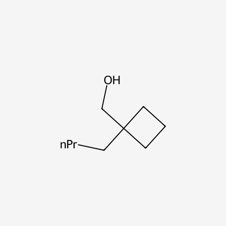 CCCCC1(CO)CCC1